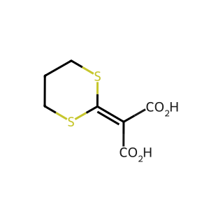 O=C(O)C(C(=O)O)=C1SCCCS1